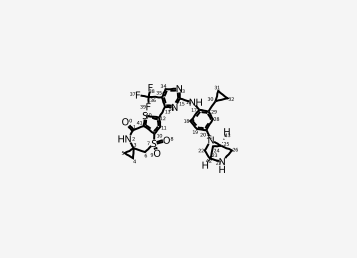 O=C1NC2(CC2)CS(=O)(=O)c2cc(-c3nc(Nc4ccc(N5C[C@H]6C[C@@H]5CN6)cc4C4CC4)ncc3C(F)(F)F)sc21